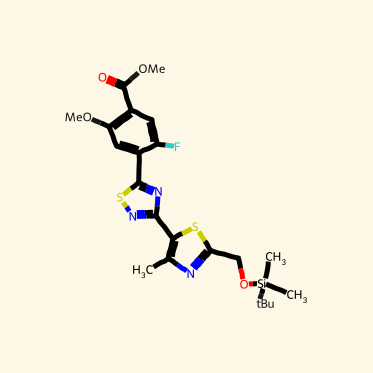 COC(=O)c1cc(F)c(-c2nc(-c3sc(CO[Si](C)(C)C(C)(C)C)nc3C)ns2)cc1OC